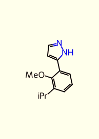 COc1c(-c2ccn[nH]2)cccc1C(C)C